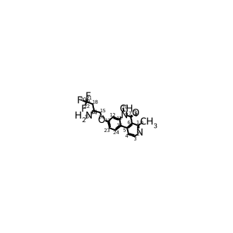 Cc1nccc2c1c(=O)n(C)c1cc(OC[C@@H](N)CC(F)(F)F)ccc21